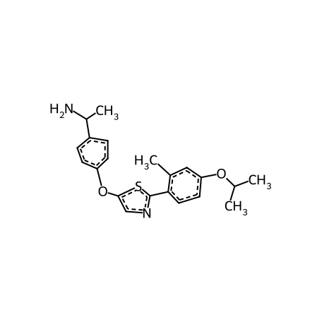 Cc1cc(OC(C)C)ccc1-c1ncc(Oc2ccc(C(C)N)cc2)s1